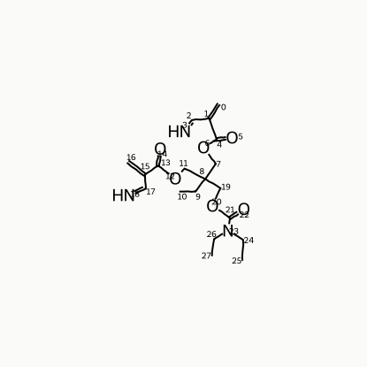 C=C(C=N)C(=O)OCC(CC)(COC(=O)C(=C)C=N)COC(=O)N(CC)CC